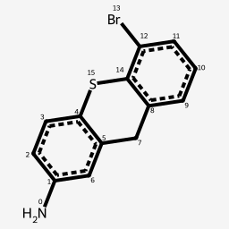 Nc1ccc2c(c1)Cc1cccc(Br)c1S2